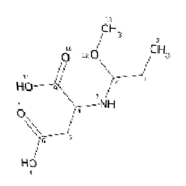 CCC(NC(CC(=O)O)C(=O)O)OC